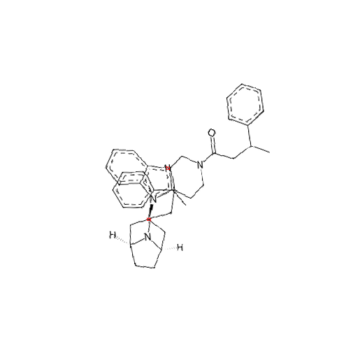 Cc1nc2ccccc2n1[C@H]1C[C@H]2CC[C@@H](C1)N2CCC1(c2ccccc2)CCN(C(=O)CC(C)c2ccccc2)CC1